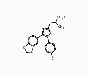 CC(Sc1nc(-c2ccc3c(c2)OCO3)c(-c2ccc(Cl)cc2)o1)C(=O)O